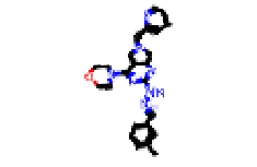 Cc1cccc(/C=N/Nc2nc3c(c(N4CCOCC4)n2)CN(Cc2ccccn2)C3)c1